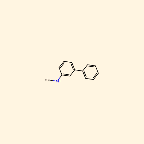 CC(C)(C)Nc1cccc(-c2ccccc2)c1